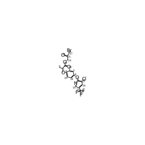 CC(Oc1ccc(Oc2ncc(C(F)(F)F)cc2Cl)cc1)C(=O)OCC(=O)CBr